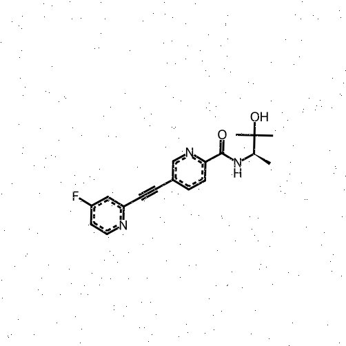 C[C@@H](NC(=O)c1ccc(C#Cc2cc(F)ccn2)cn1)C(C)(C)O